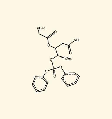 CCCCCCCCCCCC(=O)OC(CC([NH])=O)[C@@H](CCCCCCCCCC)OP(=O)(Oc1ccccc1)Oc1ccccc1